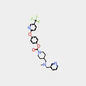 CN(Cc1cccnc1)CC1CCN(C(=O)Oc2ccc(Oc3ccc(C(F)(F)F)cn3)cc2)CC1